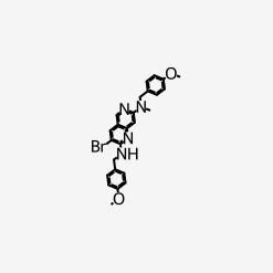 COc1ccc(CNc2nc3cc(N(C)Cc4ccc(OC)cc4)ncc3cc2Br)cc1